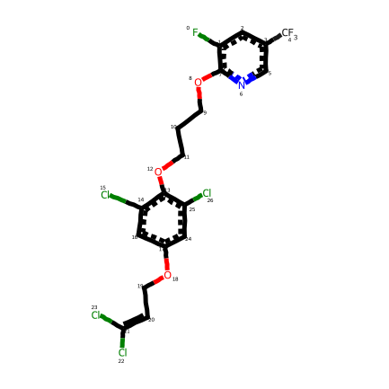 Fc1cc(C(F)(F)F)cnc1OCCCOc1c(Cl)cc(OCC=C(Cl)Cl)cc1Cl